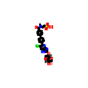 CN(CCS(=O)(=O)O)C(=O)c1ccc(-c2ccc(-c3nc4nc(O[C@@H]5CO[C@H]6[C@@H]5OC[C@H]6O)[nH]c4cc3Cl)cc2)cc1